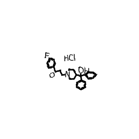 Cl.O=C(CCN1CCC(C(O)(c2ccccc2)c2ccccc2)CC1)c1ccc(F)cc1